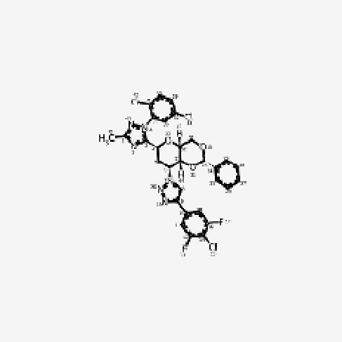 Cc1nc([C@@H]2[CH][C@H](n3cc(-c4cc(F)c(Cl)c(F)c4)nn3)[C@H]3O[C@@H](c4ccccc4)OC[C@H]3O2)n(-c2cc(Cl)ccc2Cl)n1